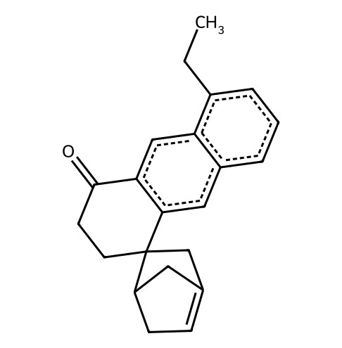 CCc1cccc2cc3c(cc12)C(=O)CCC31CC2=CCC1C2